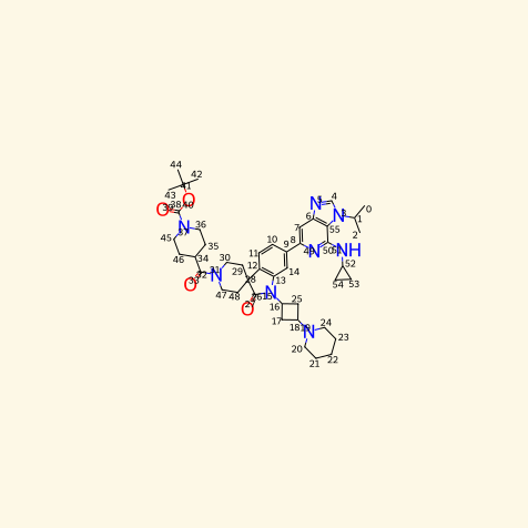 CC(C)n1cnc2cc(-c3ccc4c(c3)N(C3CC(N5CCCCC5)C3)C(=O)C43CCN(C(=O)C4CCN(C(=O)OC(C)(C)C)CC4)CC3)nc(NC3CC3)c21